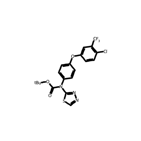 CC(C)(C)OC(=O)N(c1ccc(Oc2ccc(Cl)c(C(F)(F)F)c2)cc1)c1nncs1